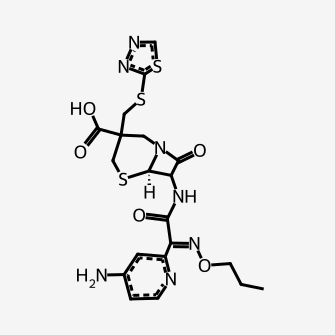 CCCON=C(C(=O)NC1C(=O)N2CC(CSc3nncs3)(C(=O)O)CS[C@H]12)c1cc(N)ccn1